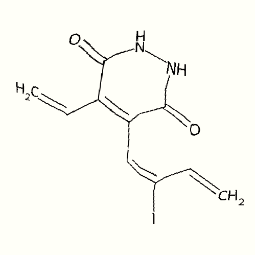 C=C/C(I)=C\c1c(C=C)c(=O)[nH][nH]c1=O